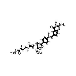 CC(C)(C)OC(=O)NCCNC(=O)CC[C@H](NC(=O)c1ccc(NCc2ccc3nc(N)[nH]c(=O)c3c2)cc1)C(=O)OC(C)(C)C